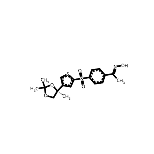 CC(=NO)c1ccc(S(=O)(=O)c2cc([C@@]3(C)COC(C)(C)O3)cs2)cc1